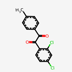 Cc1ccc(C(=O)C(=O)c2ccc(Cl)cc2Cl)cc1